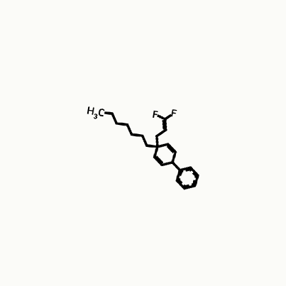 CCCCCCCC1(CC=C(F)F)C=CC(c2ccccc2)C=C1